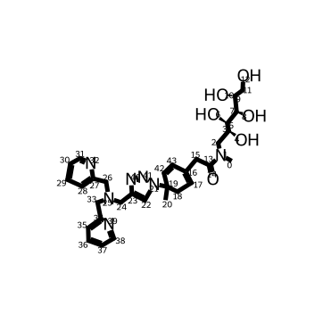 CN(C[C@H](O)[C@@H](O)[C@H](O)[C@H](O)CO)C(=O)CC1=CCC(C)(n2cc(CN(Cc3ccccn3)Cc3ccccn3)nn2)C=C1